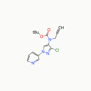 C#CCN(C(=O)OC(C)(C)C)c1cn(-c2cccnc2)nc1Cl